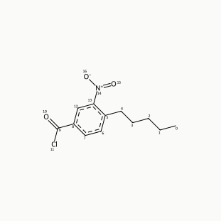 CCCCCc1ccc(C(=O)Cl)cc1[N+](=O)[O-]